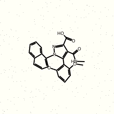 CNC(=O)c1c(C(=O)O)nn(-c2cccc3ccccc23)c1-c1c(OC)cccc1OC